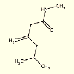 C=C(CC(=O)NC)CC(C)C